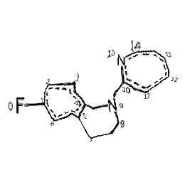 Fc1ccc2c(c1)CCN2c1ccccn1